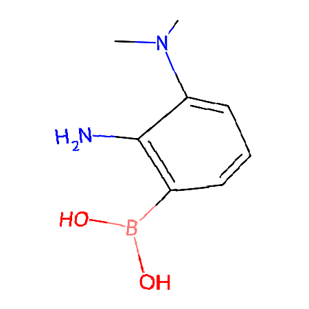 CN(C)c1cccc(B(O)O)c1N